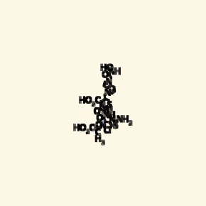 C[C@H](O/N=C(\C(=O)N[C@@H]1C(=O)N2C(C(=O)O)=C(C[n+]3cccc4c3ccn4CC(=O)NO)CS[C@H]12)c1nc(N)sc1Cl)C(=O)O